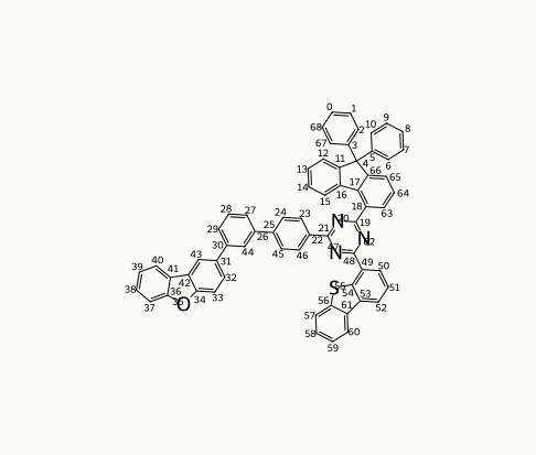 c1ccc(C2(c3ccccc3)c3ccccc3-c3c(-c4nc(-c5ccc(-c6cccc(-c7ccc8oc9ccccc9c8c7)c6)cc5)nc(-c5cccc6c5sc5ccccc56)n4)cccc32)cc1